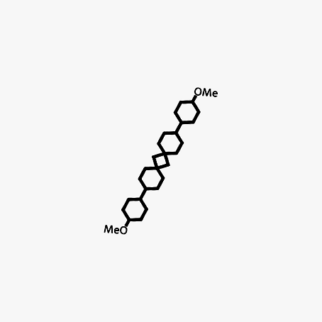 COC1CCC(C2CCC3(CC2)CC2(CCC(C4CCC(OC)CC4)CC2)C3)CC1